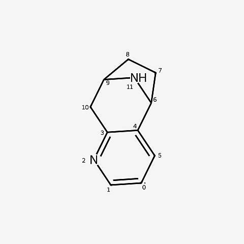 [c]1cnc2c(c1)C1CCC(C2)N1